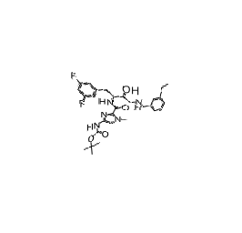 CCc1cccc(CNC[C@H](O)[C@H](Cc2cc(F)cc(F)c2)NC(=O)c2nc(NC(=O)OC(C)(C)C)cn2C)c1